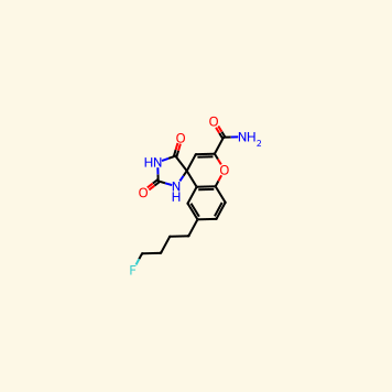 NC(=O)C1=CC2(NC(=O)NC2=O)c2cc(CCCCF)ccc2O1